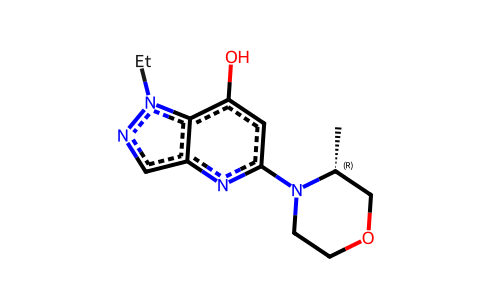 CCn1ncc2nc(N3CCOC[C@H]3C)cc(O)c21